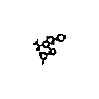 CN(C)C(=O)c1cc(C2CCCN2c2cncc(F)c2)c2nc(N3CCOCC3)cnc2c1